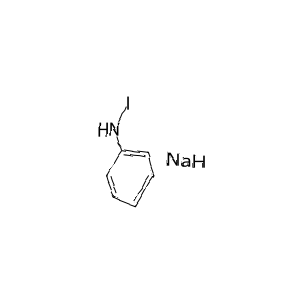 INc1ccccc1.[NaH]